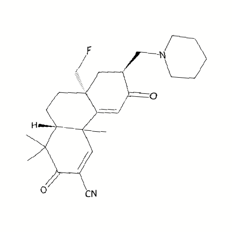 CC1(C)C(=O)C(C#N)=CC2(C)C3=CC(=O)[C@H](CN4CCCCC4)C[C@]3(CF)CC[C@@H]12